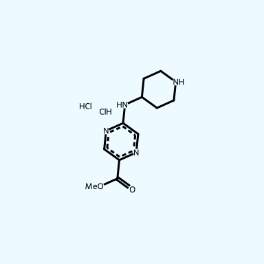 COC(=O)c1cnc(NC2CCNCC2)cn1.Cl.Cl